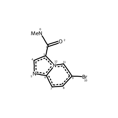 CNC(=O)c1cnc2ccc(Br)cn12